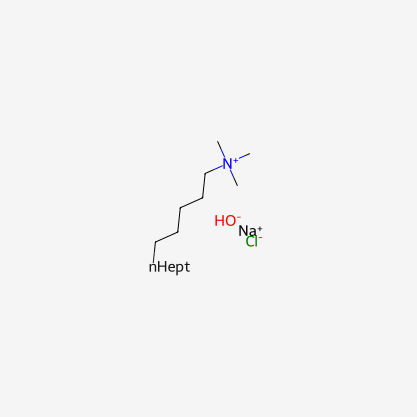 CCCCCCCCCCCC[N+](C)(C)C.[Cl-].[Na+].[OH-]